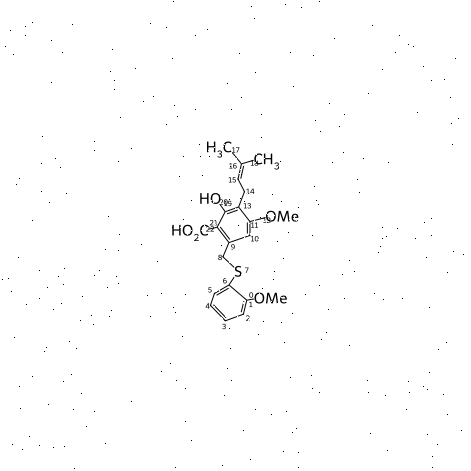 COc1ccccc1SCc1cc(OC)c(CC=C(C)C)c(O)c1C(=O)O